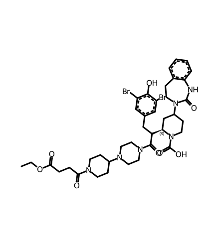 CCOC(=O)CCC(=O)N1CCC(N2CCN(C(=O)C(Cc3cc(Br)c(O)c(Br)c3)[C@H]3CC(N4CCc5ccccc5NC4=O)CCN3C(=O)O)CC2)CC1